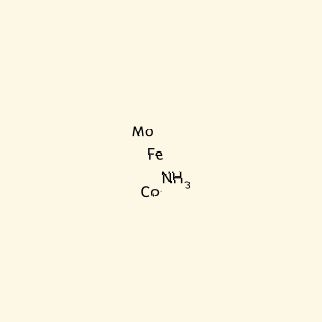 N.[Co].[Fe].[Mo]